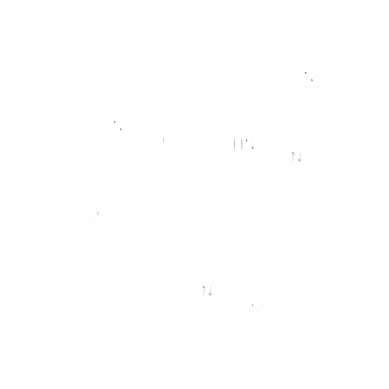 COc1cc(-c2cn(C)c(=O)c3ccc(-c4nc5cnccc5[nH]4)cc23)cc(OC)c1CN(C)C